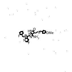 COc1ccc(COCCC2C(=O)Nc3nc(-c4nn(Cc5ccccc5F)c5ncc(F)cc45)nc(N)c32)cc1